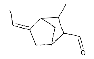 CC=C1C[C]2CC1C(C)C2C=O